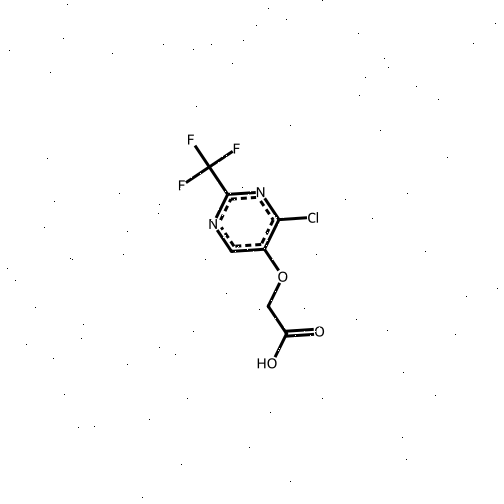 O=C(O)COc1cnc(C(F)(F)F)nc1Cl